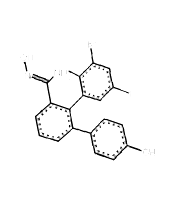 Cc1c(Br)cc(F)cc1-c1c(C(N)=NO)cccc1-c1ccc(O)cc1